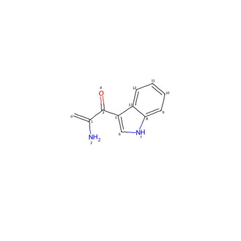 C=C(N)C(=O)c1c[nH]c2ccccc12